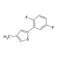 Cc1csc(-c2cc(F)ccc2F)c1